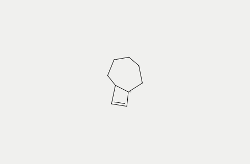 C1=CC2CCCCC[C]12